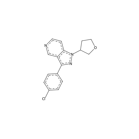 Clc1ccc(-c2nn(C3CCOC3)c3ccncc23)cc1